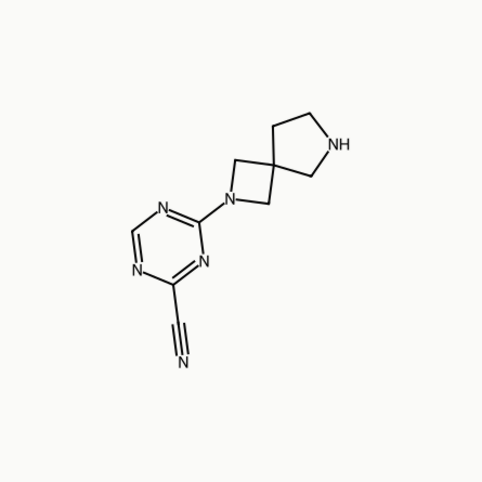 N#Cc1ncnc(N2CC3(CCNC3)C2)n1